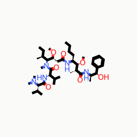 CCCC[C@H](NC(=O)C[C@@H](OC)[C@H]([C@@H](C)CC)N(C)C(=O)[C@@H](NC(=O)[C@H](C(C)C)N(C)C)C(C)C)[C@H](OC)[C@@H](C)C(=O)N[C@H](C)[C@@H](O)c1ccccc1